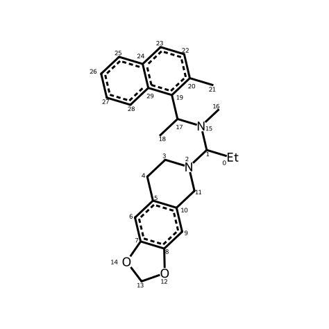 CCC(N1CCc2cc3c(cc2C1)OCO3)N(C)C(C)c1c(C)ccc2ccccc12